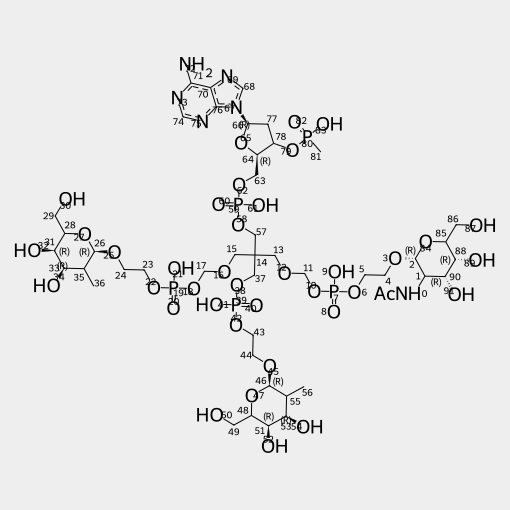 CC(=O)NC1[C@H](OCCOP(=O)(O)OCOCC(COCOP(=O)(O)OCCO[C@@H]2OC(CO)[C@H](O)[C@H](O)C2C)(COP(=O)(O)OCCO[C@@H]2OC(CO)[C@H](O)[C@H](O)C2C)COP(=O)(O)OC[C@H]2O[C@@H](n3cnc4c(N)ncnc43)CC2OP(C)(=O)O)OC(CO)[C@H](O)[C@@H]1O